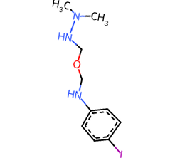 CN(C)NCOCNc1ccc(I)cc1